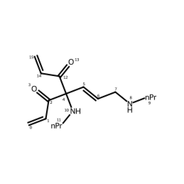 C=CC(=O)C(C=CCNCCC)(NCCC)C(=O)C=C